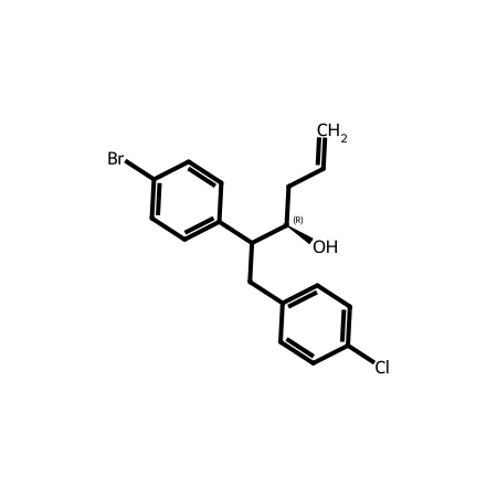 C=CC[C@@H](O)C(Cc1ccc(Cl)cc1)c1ccc(Br)cc1